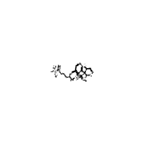 COC1=NC=CC(=O)C1(c1cccc2c1NN=C(CCCNS(C)(=O)=O)C2)C(F)(F)F